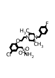 C[C@@H]1CN(Cc2ccc(F)cc2)[C@@H](C)CN1CCOc1ccc(Cl)cc1CS(N)(=O)=O